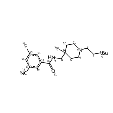 CC(C)(C)CCN1CCC(F)(CNC(=O)c2cc(F)cc(C#N)c2)CC1